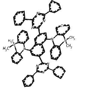 C[Si]1(C)c2ccccc2N(c2cc(-c3nc(-c4ccccc4)nc(-c4ccccc4)n3)cc3c(N4c5ccccc5[Si](C)(C)c5ccccc54)cc(-c4nc(-c5ccccc5)nc(-c5ccccc5)n4)cc23)c2ccccc21